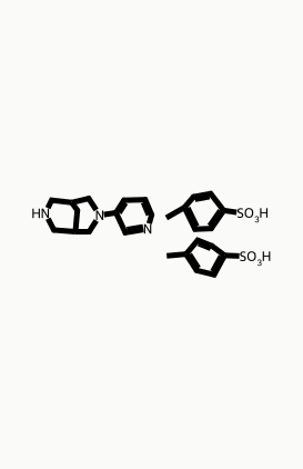 Cc1ccc(S(=O)(=O)O)cc1.Cc1ccc(S(=O)(=O)O)cc1.c1cncc(N2CC3CNCC(C3)C2)c1